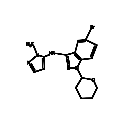 Cn1nccc1Nc1nn(C2CCCCO2)c2ccc(Br)cc12